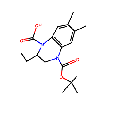 CCC1CN(C(=O)OC(C)(C)C)c2cc(C)c(C)cc2N1C(=O)O